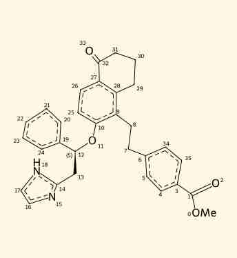 COC(=O)c1ccc(CCc2c(O[C@@H](Cc3ncc[nH]3)c3ccccc3)ccc3c2CCCC3=O)cc1